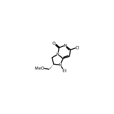 CCN1c2cc(Cl)nc(=O)n2C[C@H]1COC